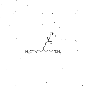 CCCCCC(=CC=CC(=O)OCC)CCCCC